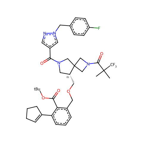 CC(C)(C)OC(=O)c1c(COC[C@@H]2CN(C(=O)c3cnn(Cc4ccc(F)cc4)c3)CC23CN(C(=O)C(C)(C)C(F)(F)F)C3)cccc1C1=CCCC1